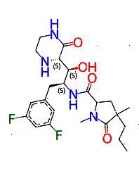 CCCC1(C)CC(C(=O)N[C@@H](Cc2cc(F)cc(F)c2)[C@H](O)[C@@H]2NCCNC2=O)N(C)C1=O